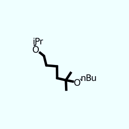 CCCCOC(C)(C)CCCCOC(C)C